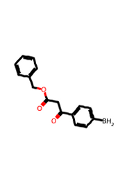 Bc1ccc(C(=O)CC(=O)OCc2ccccc2)cc1